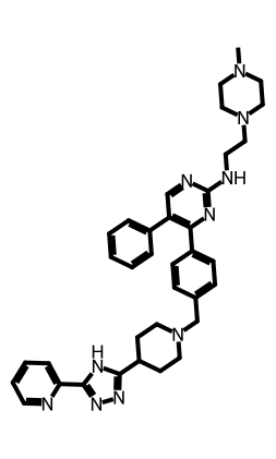 CN1CCN(CCNc2ncc(-c3ccccc3)c(-c3ccc(CN4CCC(c5nnc(-c6ccccn6)[nH]5)CC4)cc3)n2)CC1